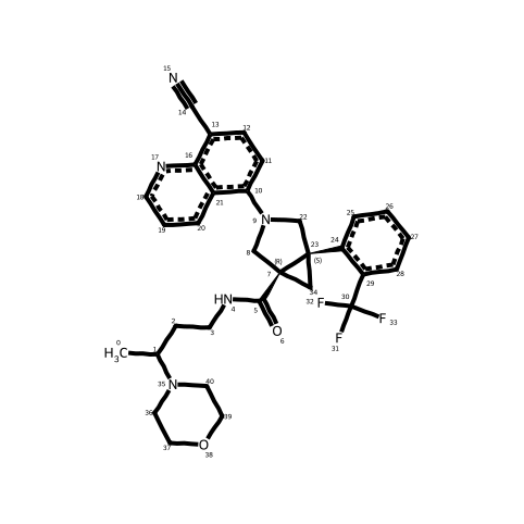 CC(CCNC(=O)[C@@]12CN(c3ccc(C#N)c4ncccc34)C[C@]1(c1ccccc1C(F)(F)F)C2)N1CCOCC1